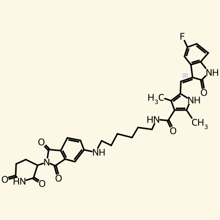 Cc1[nH]c(/C=C2\C(=O)Nc3ccc(F)cc32)c(C)c1C(=O)NCCCCCCNc1ccc2c(c1)C(=O)N(C1CCC(=O)NC1=O)C2=O